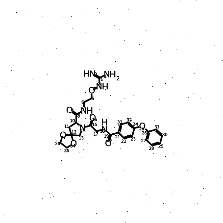 N=C(N)NOCCNC(=O)C1CC2(CN1C(=O)CNC(=O)c1ccc(Oc3ccccc3)cc1)OCCO2